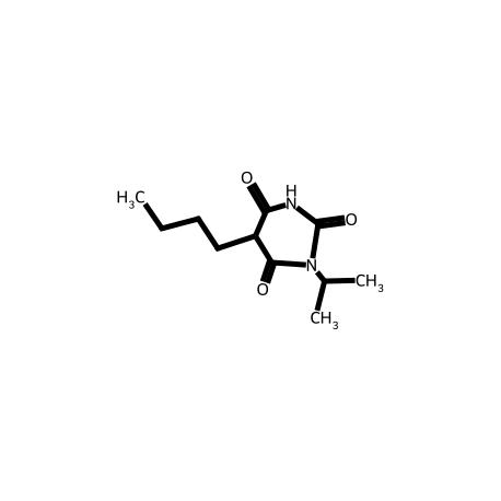 CCCCC1C(=O)NC(=O)N(C(C)C)C1=O